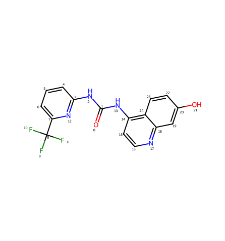 O=C(Nc1cccc(C(F)(F)F)n1)Nc1ccnc2cc(O)ccc12